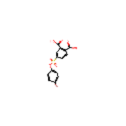 O=C(O)c1ccc(S(=O)(=O)Oc2ccc(Br)cc2)cc1C(=O)O